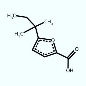 CCC(C)(C)c1ccc(C(=O)O)o1